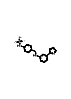 CC(C)S(=O)(=O)Nc1ccc(CNc2cccc(-c3ccco3)c2)cc1